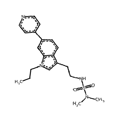 CCCn1cc(CCNS(=O)(=O)N(C)C)c2ccc(-c3ccncc3)cc21